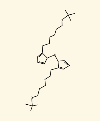 CC(C)(C)OCCCCCCC1=CC=C[CH]1[Ti][CH]1C=CC=C1CCCCCCOC(C)(C)C